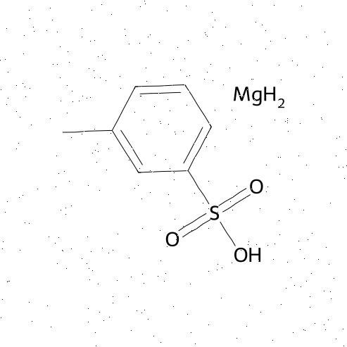 Cc1cccc(S(=O)(=O)O)c1.[MgH2]